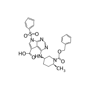 C[C@H]1CC[C@@H](Nc2ncnc3c2c(C(=O)O)cn3S(=O)(=O)c2ccccc2)CN1C(=O)OCc1ccccc1